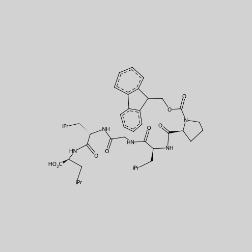 CC(C)C[C@H](NC(=O)[C@H](CC(C)C)NC(=O)CNC(=O)[C@H](CC(C)C)NC(=O)[C@@H]1CCCN1C(=O)OCC1c2ccccc2-c2ccccc21)C(=O)O